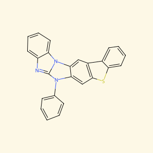 c1ccc(-n2c3cc4sc5ccccc5c4cc3n3c4ccccc4nc23)cc1